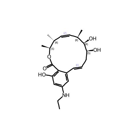 CCNc1cc(O)c2c(c1)/C=C/C[C@H](O)[C@H](O)[C@H](C)/C=C\[C@@H](C)[C@H](C)OC2=O